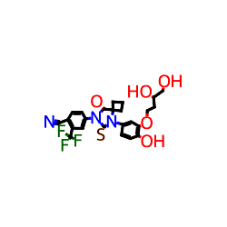 N#Cc1ccc(N2C(=O)C3(CCC3)N(c3ccc(O)c(OCCC(O)CO)c3)C2=S)cc1C(F)(F)F